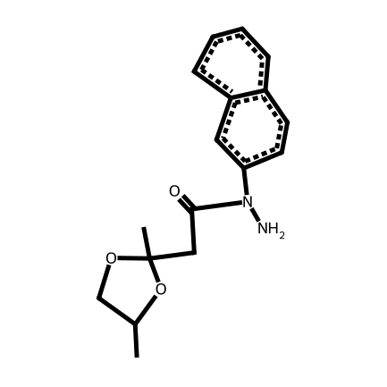 CC1COC(C)(CC(=O)N(N)c2ccc3ccccc3c2)O1